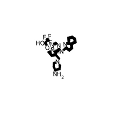 NC1CCN(Cc2ccn3ncnc(Nc4ccc5ccccc5n4)c23)CC1.O=C(O)C(F)(F)F